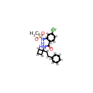 CS(=O)(=O)Nc1cc(Br)ccc1C(=O)NC1(CCc2ccccc2)CCC1